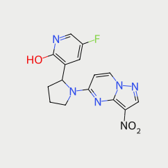 O=[N+]([O-])c1cnn2ccc(N3CCCC3c3cc(F)cnc3O)nc12